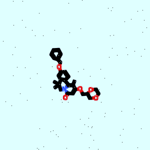 Cc1c(OCC2COCCO2)cc(=O)n2c1-c1ccc(OCc3ccccc3)cc1C(C)(C)C2